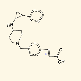 O=C(O)/C=C/c1ccc(CN2CCC(NC3CC3c3ccccc3)CC2)cc1